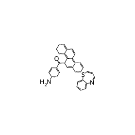 C1=CSc2ccccc2N=C1.Nc1ccc(C(=O)C2C=c3ccccc3=c3ccc4c(c32)CCCC=4)cc1